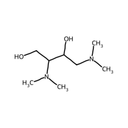 CN(C)CC(O)C(CO)N(C)C